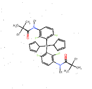 CCN(C(=O)C(C)(C)CC)c1ccc(F)[c]([Ti]([c]2c(F)ccc(N(CC)C(=O)C(C)(C)CC)c2F)([CH]2C=CC=C2)[CH]2C=CC=C2)c1F